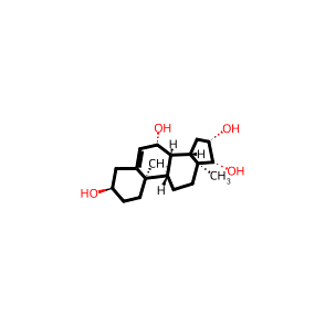 C[C@]12CC[C@H]3[C@@H]([C@@H](O)C=C4C[C@H](O)CC[C@@]43C)[C@@H]1C[C@H](O)[C@@H]2O